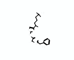 CCC[C@H](NC(=O)[C@@H](O)c1ccccc1)C(=O)Nc1ncc(C(C)CCCC(C)(C)O)s1